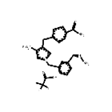 CCOC(=O)c1cn(Cc2cccc(/C=N\N)c2)cc1Cc1ccc(C(N)=O)cc1.O=C(O)C(F)(F)F